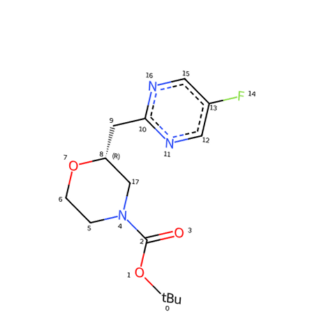 CC(C)(C)OC(=O)N1CCO[C@H](Cc2ncc(F)cn2)C1